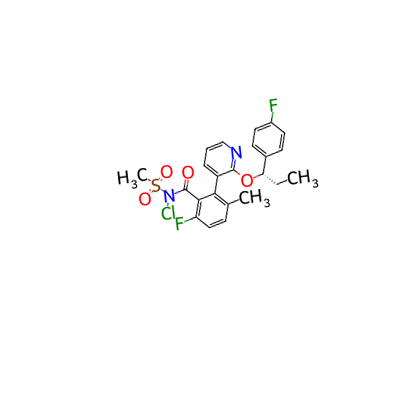 CC[C@H](Oc1ncccc1-c1c(C)ccc(F)c1C(=O)N(Cl)S(C)(=O)=O)c1ccc(F)cc1